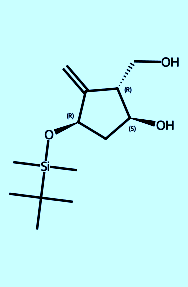 C=C1[C@H](O[Si](C)(C)C(C)(C)C)C[C@H](O)[C@H]1CO